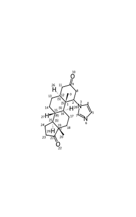 C[C@]12C(n3ccnc3)CC(=O)C[C@@H]1CC[C@@H]1[C@@H]2CC[C@]2(C)C(=O)CC[C@@H]12